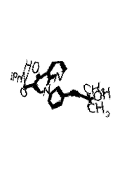 CC(C)NC(=O)c1cn(-c2cccc(C#CC(C)(C)O)c2)c2ncccc2c1=O